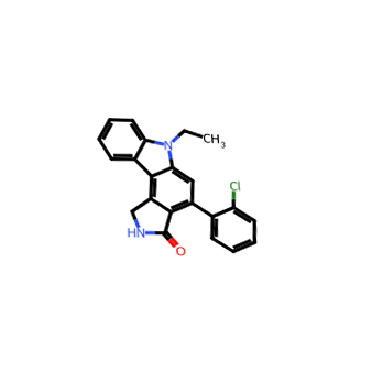 CCn1c2ccccc2c2c3c(c(-c4ccccc4Cl)cc21)C(=O)NC3